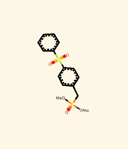 COP(=O)(Cc1ccc(S(=O)(=O)c2ccccc2)cc1)OC